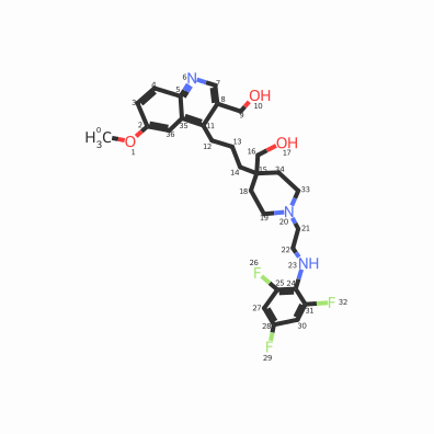 COc1ccc2ncc(CO)c(CCCC3(CO)CCN(CCNc4c(F)cc(F)cc4F)CC3)c2c1